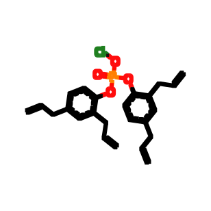 C=CCc1ccc(OP(=O)(OCl)Oc2ccc(CC=C)cc2CC=C)c(CC=C)c1